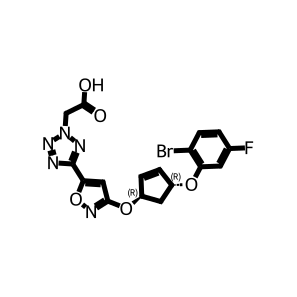 O=C(O)Cn1nnc(-c2cc(O[C@H]3C=C[C@H](Oc4cc(F)ccc4Br)C3)no2)n1